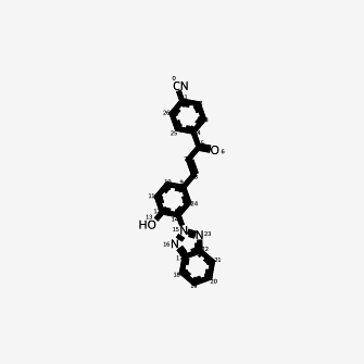 N#Cc1ccc(C(=O)/C=C/c2ccc(O)c(-n3nc4ccccc4n3)c2)cc1